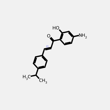 CC(C)c1ccc(/C=C/C(=O)c2ccc(N)cc2O)cc1